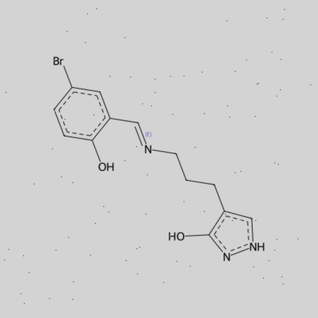 Oc1ccc(Br)cc1/C=N/CCCc1c[nH]nc1O